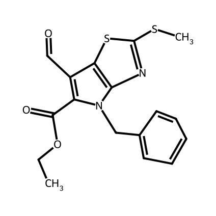 CCOC(=O)c1c(C=O)c2sc(SC)nc2n1Cc1ccccc1